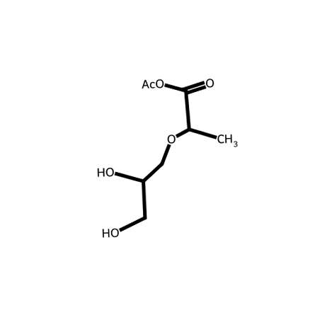 CC(=O)OC(=O)C(C)OCC(O)CO